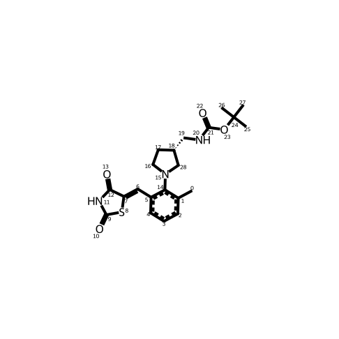 Cc1cccc(/C=C2\SC(=O)NC2=O)c1N1CC[C@H](CNC(=O)OC(C)(C)C)C1